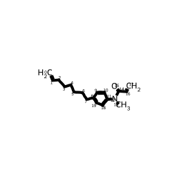 C=CCCCCCCc1ccc(N(C)C(=O)C=C)cc1